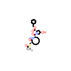 CC(=O)SC[C@@H]1CCCCCC[C@@H](C(=O)N2C[C@H](O)C[C@H]2C(=O)OCc2ccccc2)NC1=O